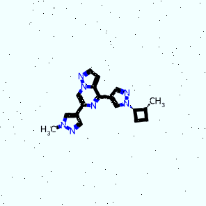 C[C@@H]1CC[C@@H]1n1cc(-c2nc(-c3cnn(C)c3)cn3nccc23)cn1